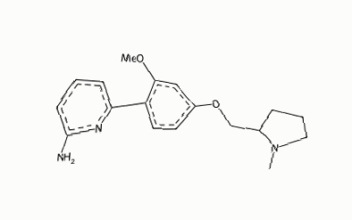 COc1cc(OCC2CCCN2C)ccc1-c1cccc(N)n1